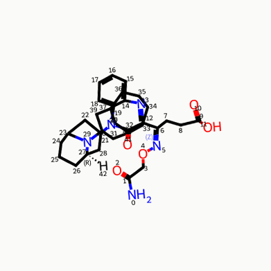 NC(=O)CO/N=C(/CCC(=O)O)c1nc2ccccc2n(C2CC3CCC[C@H](C2)N3C2CC3CCCCC(C3)C2)c1=O